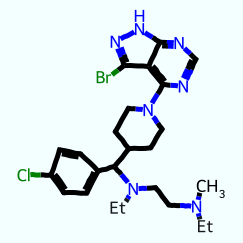 CCN(C)CCN(CC)C(c1ccc(Cl)cc1)C1CCN(c2ncnc3[nH]nc(Br)c23)CC1